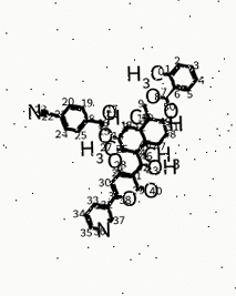 Cc1ccccc1[C@@H]1OC[C@@]2(C)C3C[C@H](OC(=O)c4ccc(C#N)cc4)[C@@]4(C)Oc5cc(-c6cccnc6)oc(=O)c5[C@H](O)C4[C@@]3(C)CC[C@@H]2O1